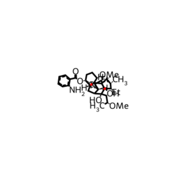 CC[C@H]1[C@@H](C)C[C@H]2C34[C@@H](OC)CC[C@@]5(OC(=O)c6ccccc6N)CN(CC)[C@H]3C(C[C@@H]45)[C@@](O)(C[C@@H](C)OC)[C@@]12O